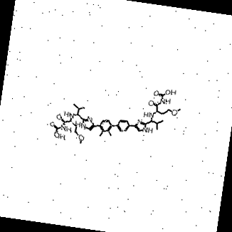 COCCC(NC(c1nc(-c2ccc(-c3ccc(-c4c[nH]c([C@@H](N[C@@H](CCOC)C(=O)NC(=O)O)C(C)C)n4)c(C)c3C)cc2)c[nH]1)C(C)C)C(=O)NC(=O)O